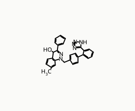 Cc1ccc2c(c1)N(Cc1ccc(-c3ccccc3-c3nnn[nH]3)cc1)N=C(c1ccccc1)C2O